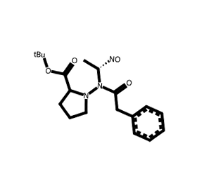 C[C@H](N=O)N(C(=O)Cc1ccccc1)N1CCCC1C(=O)OC(C)(C)C